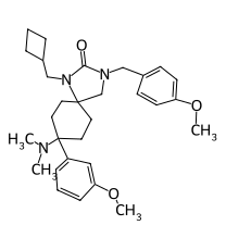 COc1ccc(CN2CC3(CCC(c4cccc(OC)c4)(N(C)C)CC3)N(CC3CCC3)C2=O)cc1